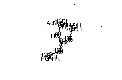 CC(=O)N[C@H]1C(O)[C@@H](O)C(CO)O[C@H]1OCCCCCCOP(=O)(O)CCCCOCC(COCCCOP(=O)(O)OCCCCCCO[C@@H]1OC(CO)[C@H](O)C(O)[C@@H]1C)(COCCCOP(=O)(O)OCCCCCCO[C@@H]1OC(CO)[C@H](O)C(O)[C@@H]1C)C(C)C